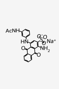 CC(=O)Nc1cccc(Nc2cc(S(=O)(=O)[O-])c(N)c3c2C(=O)c2ccccc2C3=O)c1.[Na+]